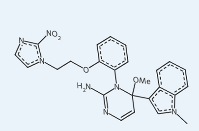 COC1(c2cn(C)c3ccccc23)C=CN=C(N)N1c1ccccc1OCCn1ccnc1[N+](=O)[O-]